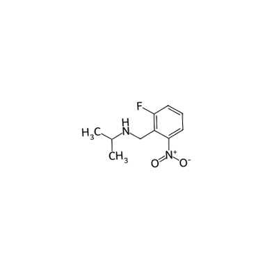 CC(C)NCc1c(F)cccc1[N+](=O)[O-]